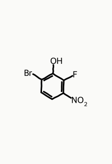 O=[N+]([O-])c1ccc(Br)c(O)c1F